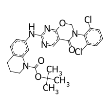 CC(C)(C)OC(=O)N1CCCc2ccc(Nc3ncc4c(n3)OCN(c3c(Cl)cccc3Cl)C4=O)cc21